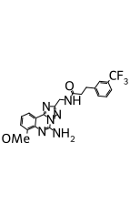 COc1cccc2c1nc(N)n1nc(CNC(=O)CCc3cccc(C(F)(F)F)c3)nc21